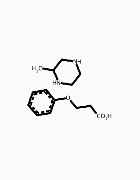 CC1CNCCN1.O=C(O)CCOc1ccccc1